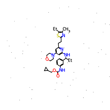 CCc1sc(CCc2cc(N3CCOCC3)cc(NC(CC)c3cccc(NC(=O)OCC4CC4)c3)n2)nc1C